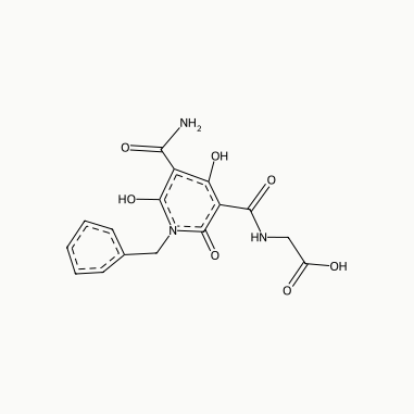 NC(=O)c1c(O)c(C(=O)NCC(=O)O)c(=O)n(Cc2ccccc2)c1O